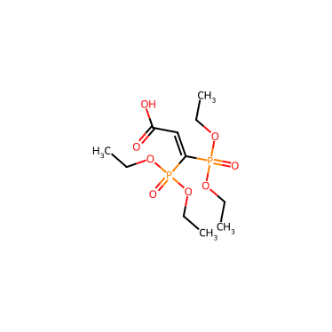 CCOP(=O)(OCC)C(=CC(=O)O)P(=O)(OCC)OCC